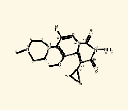 COc1c(N2CCN(C)CC2)c(F)cn2c(=O)n(N)c(=O)c(C3CC3)c12